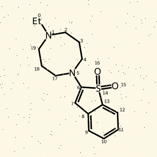 CCN1CCCN(C2=Cc3ccccc3S2(=O)=O)CCC1